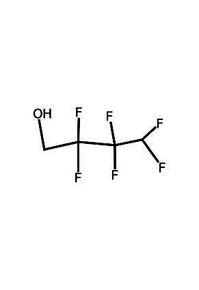 OCC(F)(F)C(F)(F)C(F)F